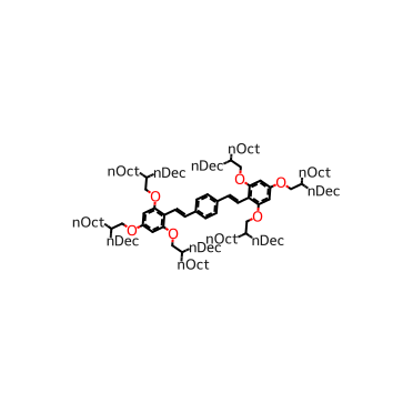 CCCCCCCCCCC(CCCCCCCC)COc1cc(OCC(CCCCCCCC)CCCCCCCCCC)c(/C=C/c2ccc(/C=C/c3c(OCC(CCCCCCCC)CCCCCCCCCC)cc(OCC(CCCCCCCC)CCCCCCCCCC)cc3OCC(CCCCCCCC)CCCCCCCCCC)cc2)c(OCC(CCCCCCCC)CCCCCCCCCC)c1